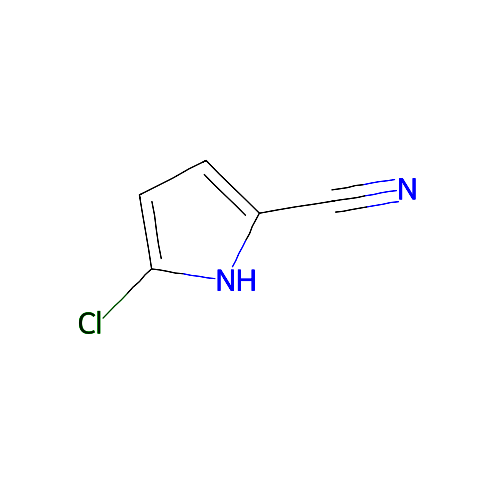 N#Cc1ccc(Cl)[nH]1